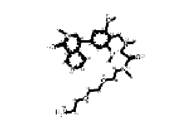 COc1cc(-c2cn(C)c(=O)c3cnccc23)cc(OC)c1CN(C)CC(=O)N(C)CCOCCOCCN